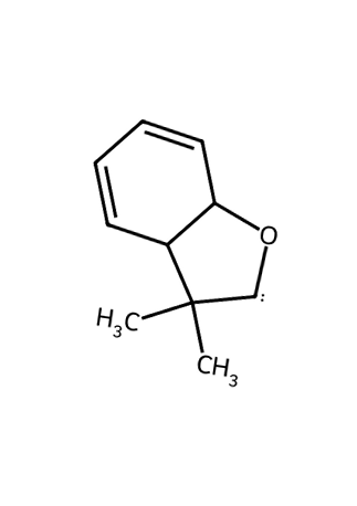 CC1(C)[C]OC2C=CC=CC21